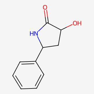 O=C1NC(c2ccccc2)CC1O